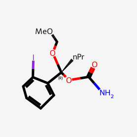 CCC[C@@](OCOC)(OC(N)=O)c1ccccc1I